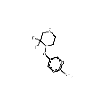 Nc1ccc(OC2CCNCC2(F)F)cn1